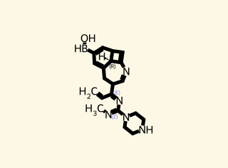 C=C/C(=N\C(=N/C)N1CCNCC1)C1C=NC2=CC3C=C(BO)C=C(C1)[C@H]23